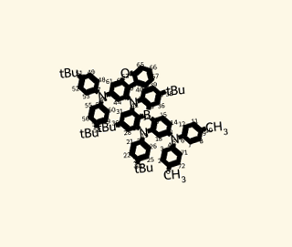 Cc1ccc(N(c2ccc(C)cc2)c2ccc3c(c2)N(c2ccc(C(C)(C)C)cc2)c2cc(C(C)(C)C)cc4c2B3c2cc(C(C)(C)C)ccc2N4c2cc(N(c3ccc(C(C)(C)C)cc3)c3ccc(C(C)(C)C)cc3)cc3oc4ccccc4c23)cc1